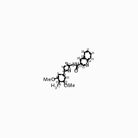 COc1cc(-c2csc(NC(=O)c3cnc4ccccc4c3)n2)cc(OC)c1C